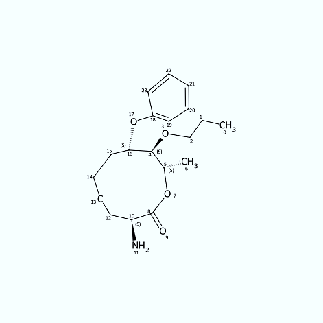 CCCO[C@H]1[C@H](C)OC(=O)[C@@H](N)CCCC[C@@H]1Oc1ccccc1